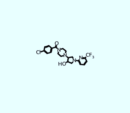 O=C(c1ccc(Cl)cc1)N1CCN(C2CN(c3cccc(C(F)(F)F)n3)CC2O)CC1